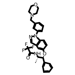 C[C@H](NC(=O)C(F)(F)F)[C@H](Oc1ccc2c(cnn2-c2cccc(CN3CCOCC3)c2)c1)c1ccccc1